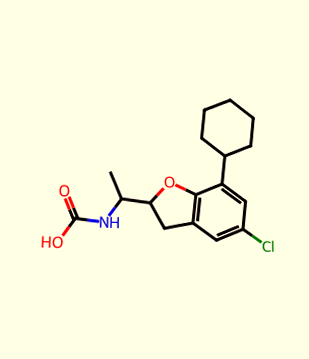 CC(NC(=O)O)C1Cc2cc(Cl)cc(C3CCCCC3)c2O1